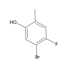 Cc1cc(F)c(Br)cc1O